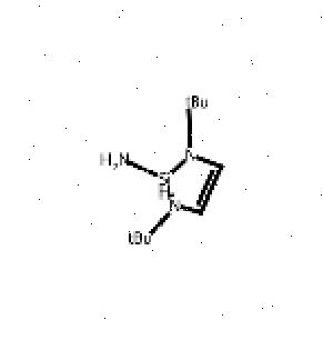 CC(C)(C)N1C=CN(C(C)(C)C)[SiH]1N